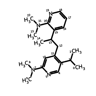 CC(C)c1cnc(N(C)C)cc1CC(C)c1cccnc1N(C)C